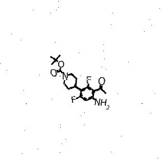 CC(=O)c1c(N)cc(F)c(C2CCN(C(=O)OC(C)(C)C)CC2)c1F